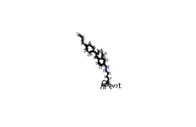 C=CCc1ccc(-c2cc3ccc(/C=C/CCCC(C)OCCCCC)cc3cn2)cc1